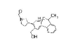 CC(C)c1ccccc1-c1ccc(C2CCN(C=O)C2)c(CO)c1